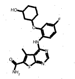 Cc1c(C(N)=O)sc2ncnc(Nc3ccc(F)cc3OC3CCCC(O)C3)c12